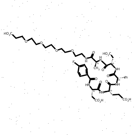 CC(C)[C@H](NC(=O)[C@H](CCC(=O)O)NC(=O)[C@H](CC(=O)O)NC(=O)c1ccc(F)cc1)C(=O)N[C@@H](CC(=O)O)C(=O)N[C@@H](C)C(=O)NCCOCCOCCOCCOCCC(=O)O